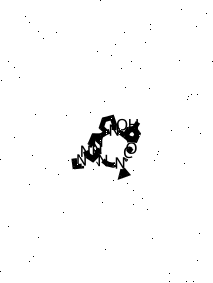 Cc1ccc2c(c1)C(O)N1CCCCC1c1cc3nc(N4CCC4)cc(n3n1)N(C)CCN(C1CC1)CCO2